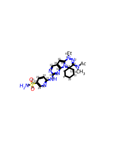 CCN1N=C(N(C)C(C)=O)C2(CCCCC2)n2c1cc1cnc(Nc3ccc(S(N)(=O)=O)cn3)nc12